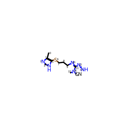 Cc1nc[nH]c1SCCCN=C(N=N)N(C)C#N